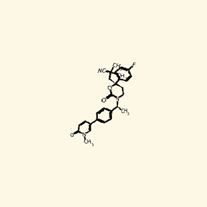 C[C@@H](c1ccc(-c2ccc(=O)n(C)c2)cc1)N1CC[C@@](CC(C)(C)C#N)(c2ccc(F)cc2)OC1=O